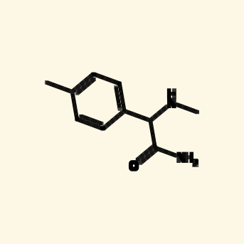 CNC(C(N)=O)c1ccc(C)cc1